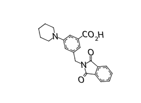 O=C(O)c1cc(CN2C(=O)c3ccccc3C2=O)cc(N2CCCCC2)c1